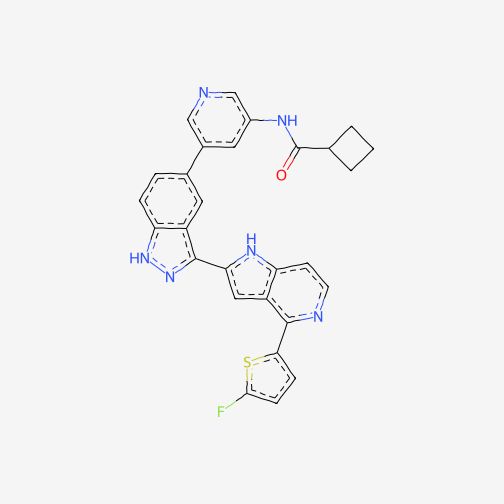 O=C(Nc1cncc(-c2ccc3[nH]nc(-c4cc5c(-c6ccc(F)s6)nccc5[nH]4)c3c2)c1)C1CCC1